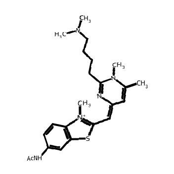 CC(=O)Nc1ccc2c(c1)sc(/C=C1/C=C(C)N(C)C(CCCCN(C)C)=N1)[n+]2C